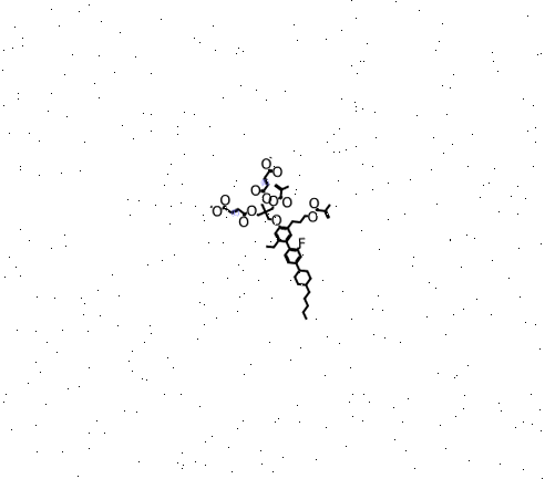 C=C(C)C(=O)OCCCc1cc(-c2ccc(C3CCC(CCCCC)CC3)cc2F)c(CC)cc1OCC(COC(=O)/C=C/C(=O)OC)(COC(=O)/C=C/C(=O)OC)COC(=O)C(=C)C